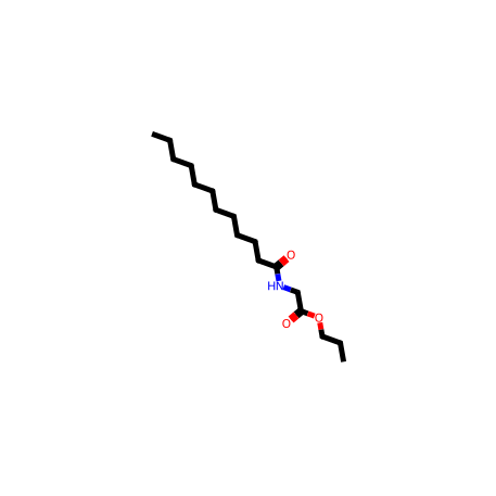 CCCCCCCCCCCC(=O)NCC(=O)OCCC